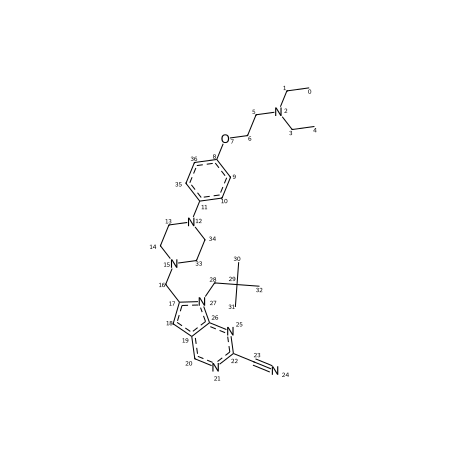 CCN(CC)CCOc1ccc(N2CCN(Cc3cc4cnc(C#N)nc4n3CC(C)(C)C)CC2)cc1